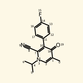 Cc1cn(C(C)C)c(C#N)c(-c2ccc(F)cc2)c1=O